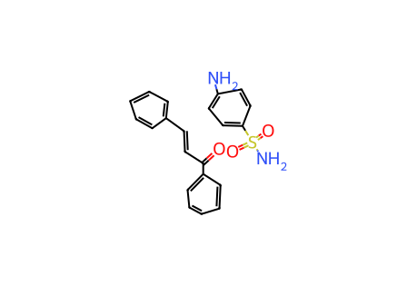 Nc1ccc(S(N)(=O)=O)cc1.O=C(C=Cc1ccccc1)c1ccccc1